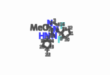 COc1nccn2c(-c3c(F)cccc3F)nc(Nc3ccc(C)cc3)c12